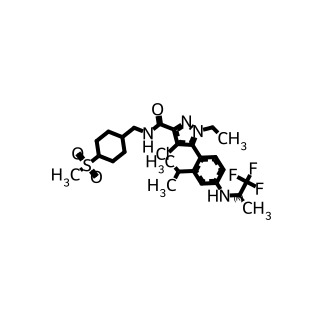 CCn1nc(C(=O)NCC2CCC(S(C)(=O)=O)CC2)c(Cl)c1-c1ccc(N[C@H](C)C(F)(F)F)cc1C(C)C